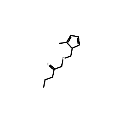 CCCC(=O)COCC1C=CC=C1C